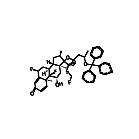 CC(CC(=O)O[C@]1(C(=O)SCF)[C@H](C)C[C@H]2[C@@H]3C[C@H](F)C4=CC(=O)C=C[C@]4(C)[C@@]3(F)[C@@H](O)C[C@@]21C)OC(c1ccccc1)(c1ccccc1)c1ccccc1